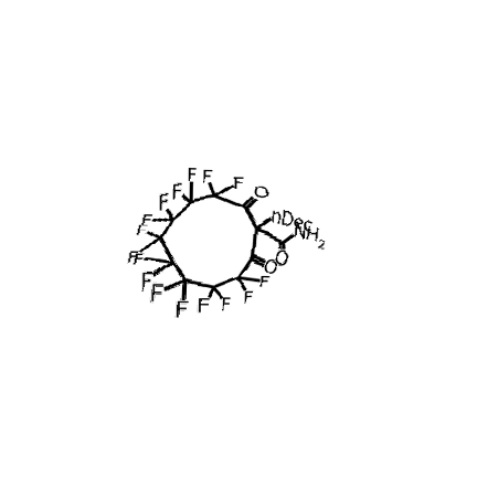 CCCCCCCCCCC1(C(N)=O)C(=O)C(F)(F)C(F)(F)C(F)(F)C(F)(F)C(F)(F)C(F)(F)C(F)(F)C(F)(F)C1=O